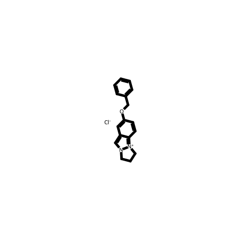 [Cl-].c1ccc(COc2ccc3c(c2)cn2[n+]3CCC2)cc1